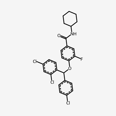 O=C(NC1CCCCC1)c1ccc(OC(c2ccc(Cl)cc2)c2ccc(Cl)cc2Cl)c(F)c1